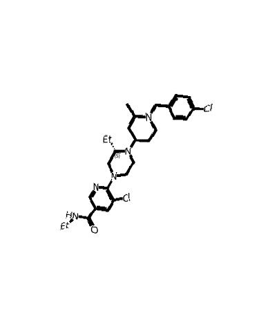 CCNC(=O)c1cnc(N2CCN(C3CCN(Cc4ccc(Cl)cc4)C(C)C3)[C@@H](CC)C2)c(Cl)c1